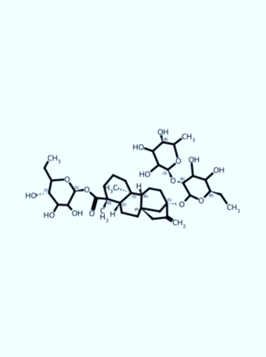 C=C1C[C@@]23CC[C@H]4[C@@](C)(CCC[C@@]4(C)C(=O)O[C@@H]4OC(CC)[C@@H](O)C(O)C4O)[C@@H]2CC[C@]1(OC1O[C@H](CC)C(O)C(O)[C@H]1O[C@@H]1OC(C)[C@H](O)C(O)C1O)C3